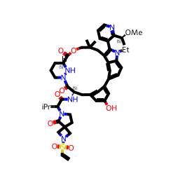 C=CS(=O)(=O)N1CC2(CCN(C(C(=O)N[C@H]3Cc4cc(O)cc(c4)-c4ccc5c(c4)c(c(-c4cccnc4[C@H](C)OC)n5CC)CC(C)(C)COC(=O)[C@@H]4CCCN(N4)C3=O)C(C)C)C2=O)C1